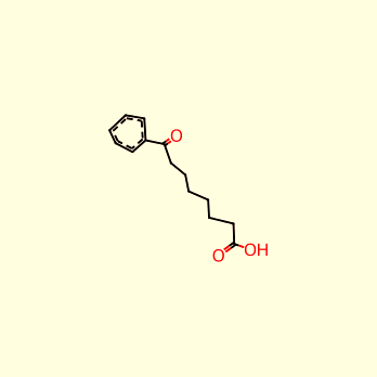 O=C(O)CCCCCCC(=O)c1ccccc1